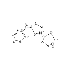 C1=CC(OC2CCN(C3CCOCC3)C2)=CCC1